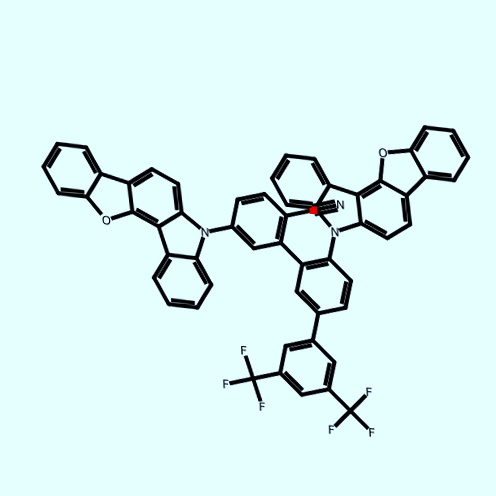 N#Cc1ccc(-n2c3ccccc3c3c4oc5ccccc5c4ccc32)cc1-c1cc(-c2cc(C(F)(F)F)cc(C(F)(F)F)c2)ccc1-n1c2ccccc2c2c3oc4ccccc4c3ccc21